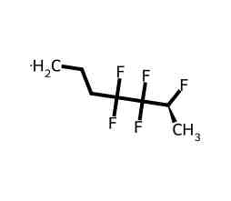 [CH2]CCC(F)(F)C(F)(F)[C@H](C)F